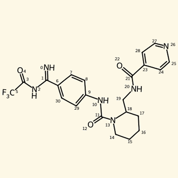 N=C(NC(=O)C(F)(F)F)c1ccc(NC(=O)N2CCCCC2CNC(=O)c2ccncc2)cc1